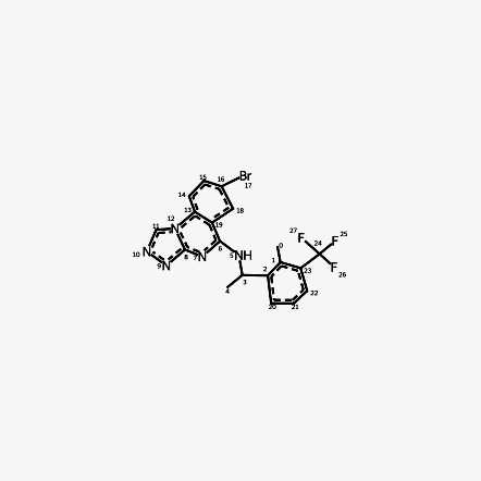 Cc1c(C(C)Nc2nc3nncn3c3ccc(Br)cc23)cccc1C(F)(F)F